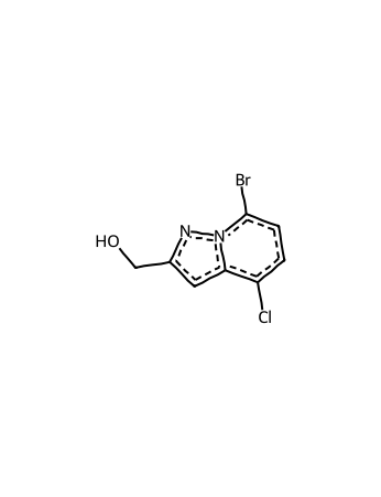 OCc1cc2c(Cl)ccc(Br)n2n1